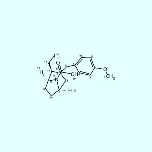 COc1ccc(CN2C[C@H]3CC[C@@H]([C@H]2CI)N3C(=O)O)cc1